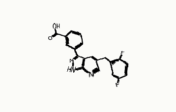 O=C(O)c1cccc(-c2n[nH]c3ncc(Cc4cc(F)ccc4F)cc23)c1